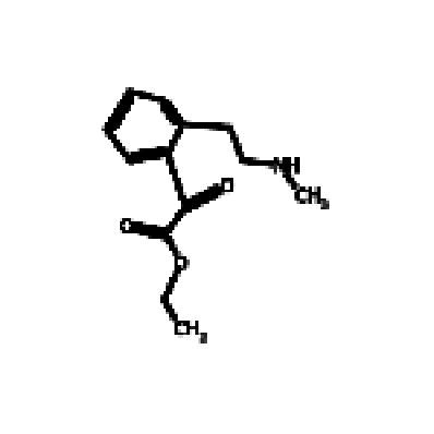 CCOC(=O)C(=O)c1ccccc1CCNC